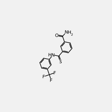 NC(=O)c1cccc(C(=S)Nc2cccc(C(F)(F)F)c2)c1